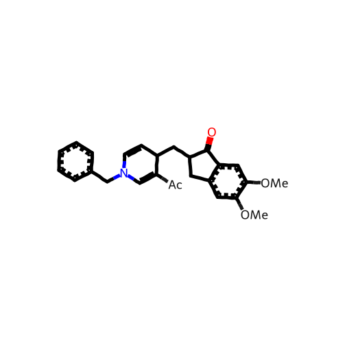 COc1cc2c(cc1OC)C(=O)C(CC1C=CN(Cc3ccccc3)C=C1C(C)=O)C2